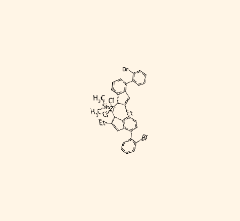 CCC1=Cc2c(-c3ccccc3Br)cccc2[CH]1[Zr]([Cl])([Cl])([CH]1C(CC)=Cc2c(-c3ccccc3Br)cccc21)=[Si](C)C